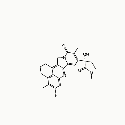 CC[C@@](O)(C(=O)OC)c1cc2n(c(=O)c1C)Cc1c-2nc2cc(F)c(C)c3c2c1CCC3